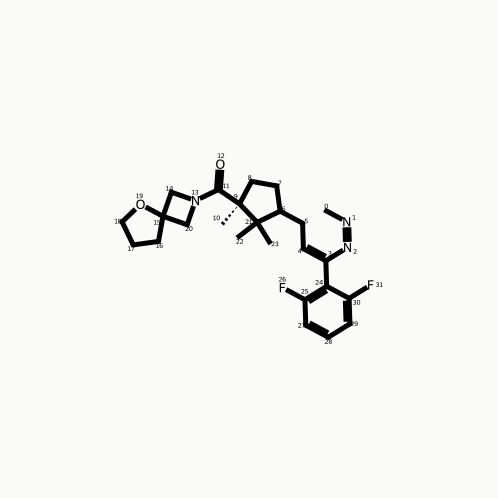 C/N=N\C(=C/CC1CC[C@](C)(C(=O)N2CC3(CCCO3)C2)C1(C)C)c1c(F)cccc1F